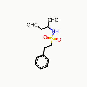 O=[C]C[C@@H]([C]=O)NS(=O)(=O)CCc1ccccc1